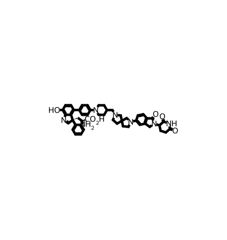 N[C@@H](C[C@]1(c2ccccc2)C=Nc2c(O)ccc(-c3ccc(N4CCC(CN5CCC6(CCN(c7ccc8c(c7)CN(C7CCC(=O)NC7=O)C8=O)C6)C5)CC4)cc3)c21)C(=O)O